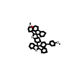 COc1ccc(-c2ccc(C3(c4ccc5c(c4)N=C(c4ccccc4)C54c5ccccc5-c5ccc(OC)cc54)C(c4ccccc4)=Nc4ccccc43)cc2)cc1